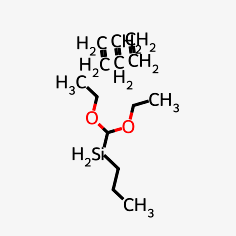 C=C.C=C.C=C.CCC[SiH2]C(OCC)OCC